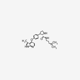 Cc1c[nH]c2nccc(Oc3ccc(C4CCN[C@@H]4C(=O)NCCCN(C)C)cc3)c12